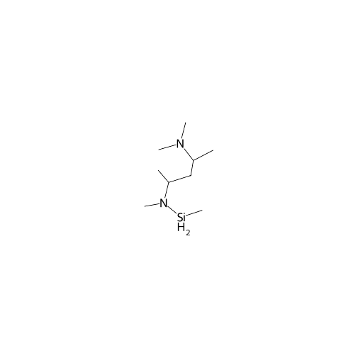 C[SiH2]N(C)C(C)CC(C)N(C)C